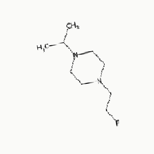 CC(C)N1CCN(CCF)CC1